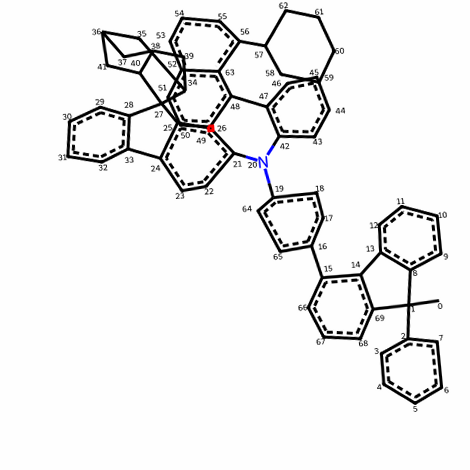 CC1(c2ccccc2)c2ccccc2-c2c(-c3ccc(N(c4ccc5c(c4)C4(c6ccccc6-5)C5CC6CC(C5)C4C6)c4ccccc4-c4cccc5cccc(C6CCCCC6)c45)cc3)cccc21